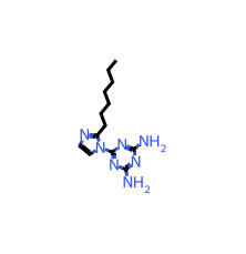 CCCCCCCc1nccn1-c1nc(N)nc(N)n1